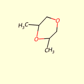 CC1COCC(C)O1